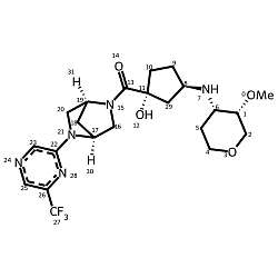 CO[C@@H]1COCC[C@@H]1N[C@@H]1CC[C@](O)(C(=O)N2C[C@@H]3C[C@H]2CN3c2cncc(C(F)(F)F)n2)C1